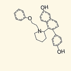 Oc1ccc(-c2ccc3cc(O)ccc3c2C2CCCCN2CCOc2ccccc2)cc1